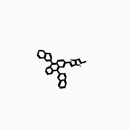 Cc1cc2sc(-c3ccc4c(-c5ccc6c(c5)C=CCC6)c5ccccc5c(-c5ccc6ccccc6c5)c4c3)cc2s1